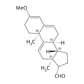 COC1=CC2=CC[C@@H]3C(=CC[C@]4(C)C(C=O)CC[C@@H]34)[C@@]2(C)CC1